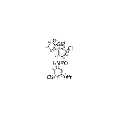 CCCc1cc(Cl)cc(NC(=O)c2cc(Cl)c(Cl)c(N3CCCS3(=O)=O)c2)c1